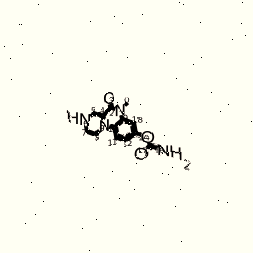 CN1C(=O)C2CNCCN2c2ccc(OC(N)=O)cc21